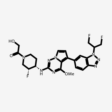 COc1nc(N[C@H]2CCN(C(=O)CO)C[C@H]2F)nn2ccc(-c3ccc4nnn(C(CF)CF)c4c3)c12